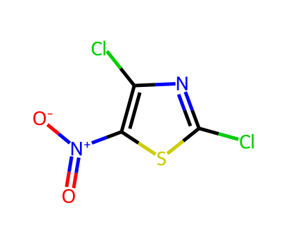 O=[N+]([O-])c1sc(Cl)nc1Cl